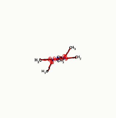 CCCCCCCCCCCCCCOC(=O)CCN(CCC(=O)OCCCCCCCCCCCCCC)CCC(=O)OCCN1CC(C)N(CCOC(=O)CCN(CCC(=O)OCCCCCCCCCCCCCC)CCC(=O)OCCCCCCCCCCCCCC)CC1C